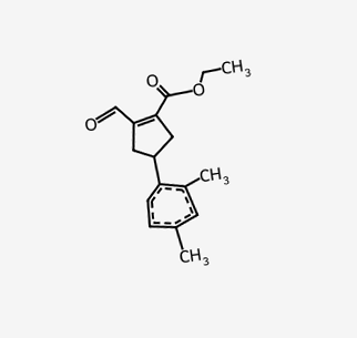 CCOC(=O)C1=C(C=O)CC(c2ccc(C)cc2C)C1